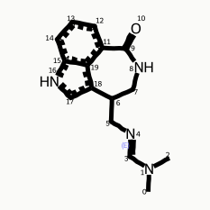 CN(C)/C=N/CC1CNC(=O)c2cccc3[nH]cc1c23